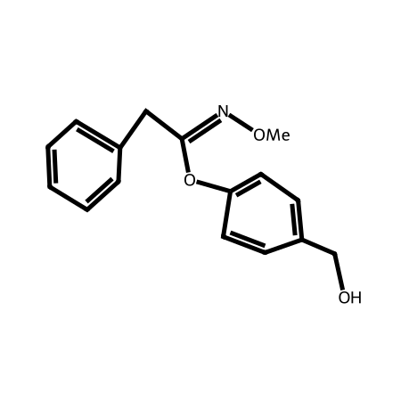 CON=C(Cc1ccccc1)Oc1ccc(CO)cc1